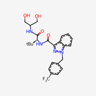 CC(C)(C)[C@H](NC(=O)c1nn(Cc2ccc(C(F)(F)F)cc2)c2ccccc12)C(=O)NC(CO)CO